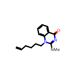 C=CCCCCn1c(NC)nc(=O)c2ccccc21